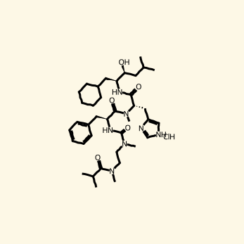 CC(C)C[C@H](O)[C@H](CC1CCCCC1)NC(=O)[C@H](Cc1c[nH]cn1)N(C)C(=O)[C@H](Cc1ccccc1)NC(=O)N(C)CCN(C)C(=O)C(C)C.Cl